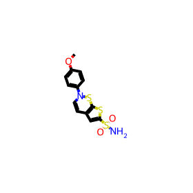 COc1ccc(N2C=Cc3cc(S(N)(=O)=O)sc3S2)cc1